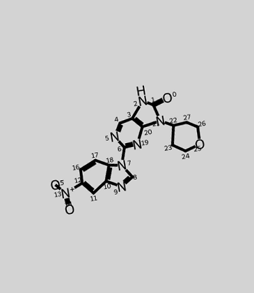 O=c1[nH]c2cnc(-n3cnc4cc([N+](=O)[O-])ccc43)nc2n1C1CCOCC1